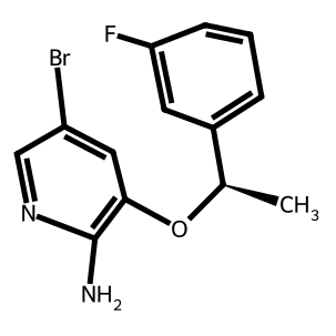 C[C@@H](Oc1cc(Br)cnc1N)c1cccc(F)c1